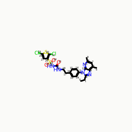 CCc1nc2c(C)cc(C)nc2n1-c1ccc(CCNC(=O)NS(=O)(=O)c2cc(Cl)sc2Cl)cc1